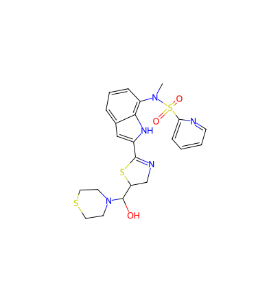 CN(c1cccc2cc(C3=NCC(C(O)N4CCSCC4)S3)[nH]c12)S(=O)(=O)c1ccccn1